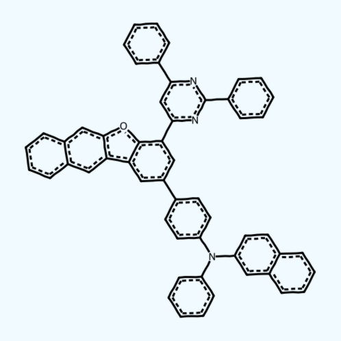 c1ccc(-c2cc(-c3cc(-c4ccc(N(c5ccccc5)c5ccc6ccccc6c5)cc4)cc4c3oc3cc5ccccc5cc34)nc(-c3ccccc3)n2)cc1